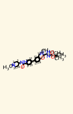 CN1CCC(NC(=O)c2ccc(-c3cccc(CN(C)C(=O)CNC(=O)OC(C)(C)C)c3)cc2)CC1